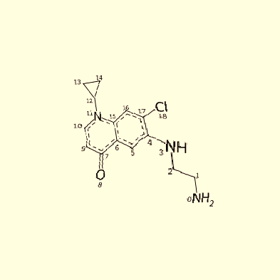 NCCNc1cc2c(=O)ccn(C3CC3)c2cc1Cl